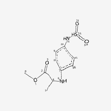 COC(=O)C(C)Nc1ccc(N[SH](=O)=O)cc1